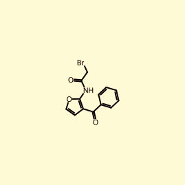 O=C(CBr)Nc1occc1C(=O)c1ccccc1